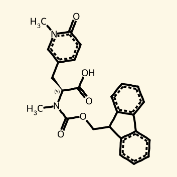 CN(C(=O)OCC1c2ccccc2-c2ccccc21)[C@@H](Cc1ccc(=O)n(C)c1)C(=O)O